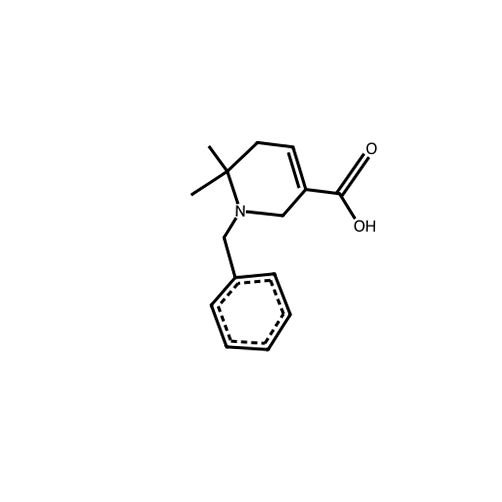 CC1(C)CC=C(C(=O)O)CN1Cc1ccccc1